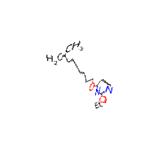 C=C(C)CCCCCCOc1ccnc(OCC)n1